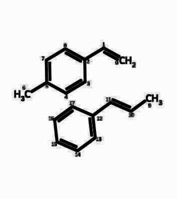 C=Cc1ccc(C)cc1.CC=Cc1ccccc1